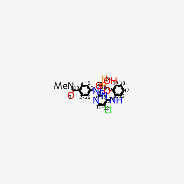 CNC(=O)c1ccc(Nc2ncc(Cl)c(Nc3ccccc3O[PH](=O)O)n2)cc1